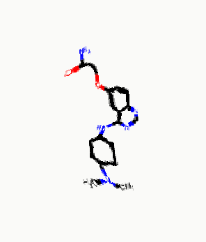 CN(C)C1CCC(Nc2ncnc3ccc(OCC(N)=O)cc23)CC1